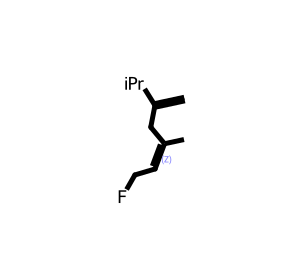 C=C(C/C(C)=C\CF)C(C)C